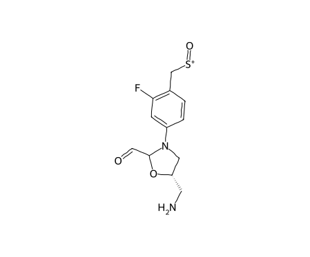 NC[C@H]1CN(c2ccc(C[S+]=O)c(F)c2)C(C=O)O1